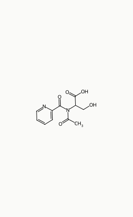 CC(=O)N(C(=O)c1ccccn1)C(CO)C(=O)O